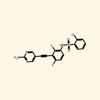 Nc1ncc(C#Cc2c(F)ccc(NS(=O)(=O)c3ccccc3Cl)c2F)cn1